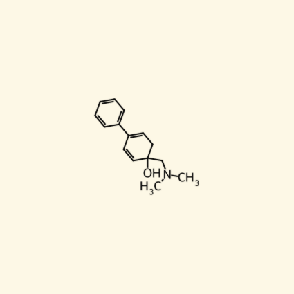 CN(C)CC1(O)C=CC(c2ccccc2)=CC1